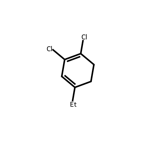 CCC1=CC(Cl)=C(Cl)CC1